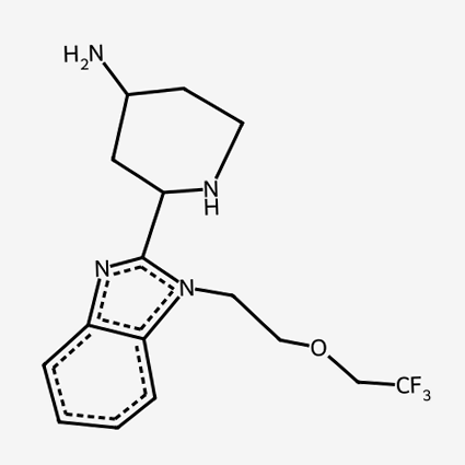 NC1CCNC(c2nc3ccccc3n2CCOCC(F)(F)F)C1